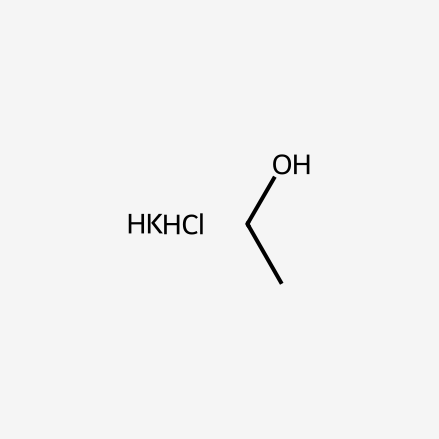 CCO.Cl.[KH]